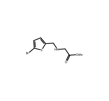 COC(=O)CNCc1ccc(Br)s1